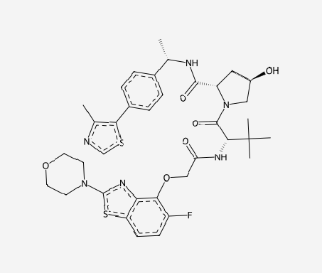 Cc1ncsc1-c1ccc([C@H](C)NC(=O)[C@@H]2C[C@@H](O)CN2C(=O)[C@@H](NC(=O)COc2c(F)ccc3sc(N4CCOCC4)nc23)C(C)(C)C)cc1